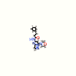 O=C(C=Cc1ccccc1)Nc1cc(N2CCOCC2)n2nccc2n1